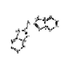 c1ccc2[nH]c(Oc3cc4ccccc4[nH]3)cc2c1